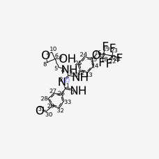 N=C(/N=C(/NCC1(O)COC1)Nc1ccc(OC(F)(F)C(F)(F)F)cc1)c1ccc(C=O)cc1